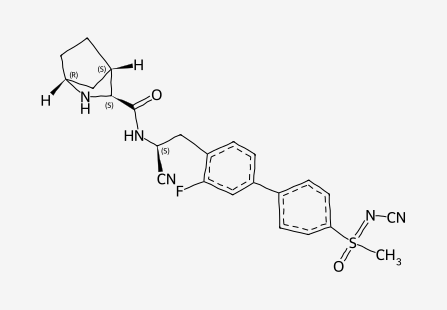 CS(=O)(=NC#N)c1ccc(-c2ccc(C[C@@H](C#N)NC(=O)[C@H]3N[C@@H]4CC[C@H]3C4)c(F)c2)cc1